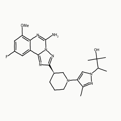 COc1cc(F)cc2c1nc(N)n1nc([C@@H]3CCCN(c4cn(C(C)C(C)(C)O)nc4C)C3)nc21